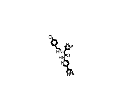 Cn1cc(-c2ccc(NC(=O)[C@H](NCCc3ccc(Cl)cc3)c3cnn(C)c3)nc2)cn1